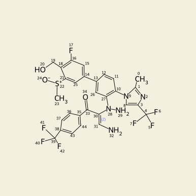 Cc1nc(C(F)(F)F)cn1-c1ccc(-c2cc(F)c(CO)c([S+](C)[O-])c2)cc1N(N)/C(=C\N)C(=O)c1ccc(C(F)(F)F)cc1